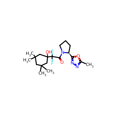 Cc1nnc([C@@H]2CCCN2C(=O)C(F)(F)C2(O)CC(C)(C)CC(C)(C)C2)o1